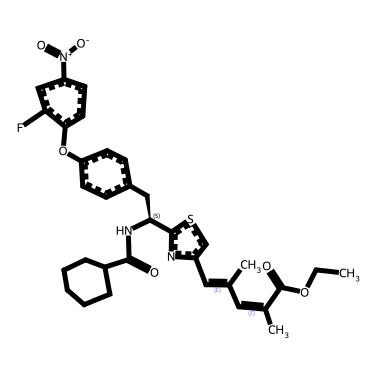 CCOC(=O)/C(C)=C\C(C)=C\c1csc([C@H](Cc2ccc(Oc3ccc([N+](=O)[O-])cc3F)cc2)NC(=O)C2CCCCC2)n1